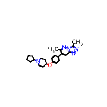 Cc1nn2c(C)nnc2cc1-c1ccc(OC2CCN(C3CCCC3)CC2)cc1